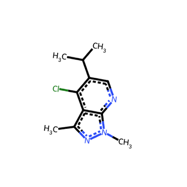 Cc1nn(C)c2ncc(C(C)C)c(Cl)c12